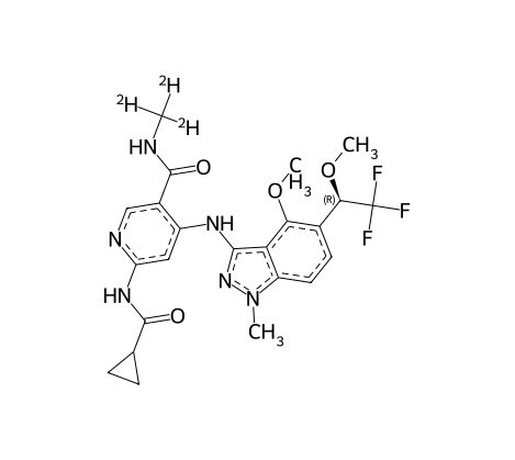 [2H]C([2H])([2H])NC(=O)c1cnc(NC(=O)C2CC2)cc1Nc1nn(C)c2ccc([C@@H](OC)C(F)(F)F)c(OC)c12